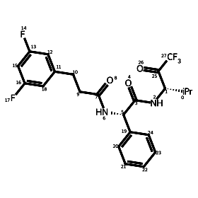 CC(C)[C@H](NC(=O)[C@@H](NC(=O)CCc1cc(F)cc(F)c1)c1ccccc1)C(=O)C(F)(F)F